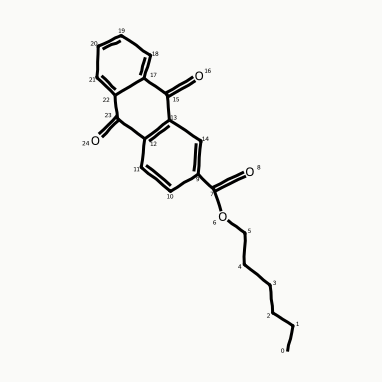 CCCCCCOC(=O)c1ccc2c(c1)C(=O)c1ccccc1C2=O